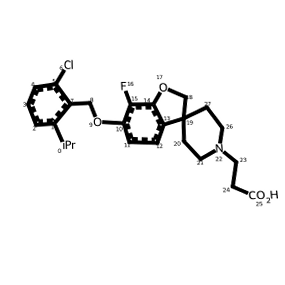 CC(C)c1cccc(Cl)c1COc1ccc2c(c1F)OCC21CCN(CCC(=O)O)CC1